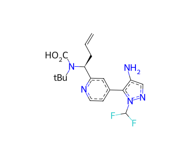 C=CC[C@@H](c1cc(-c2c(N)cnn2C(F)F)ccn1)N(C(=O)O)C(C)(C)C